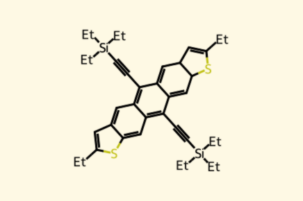 CCC1=CC2C=c3c(C#C[Si](CC)(CC)CC)c4cc5cc(CC)sc5cc4c(C#C[Si](CC)(CC)CC)c3=CC2S1